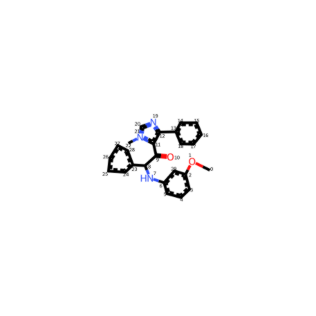 COc1cccc(NC(C(=O)c2c(-c3ccccc3)ncn2C)c2ccccc2)c1